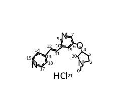 CN1CC[C@@H](Oc2cncc(/C=C/c3ccncc3)c2)C1.Cl